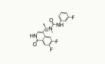 C[C@H](c1c[nH]c(=O)c2cc(F)c(F)cc12)N(C)C(=O)Nc1cccc(F)c1